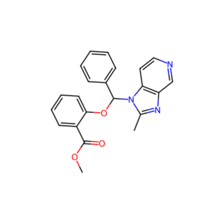 COC(=O)c1ccccc1OC(c1ccccc1)n1c(C)nc2cnccc21